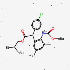 CCCCOC(=O)N(CCC)c1c(C)cc(C(C)(C)C)cc1C(C(=O)OCC(CC)CCCC)c1ccc(Cl)cc1